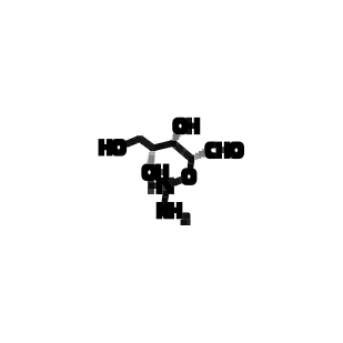 NNO[C@@H](C=O)[C@@H](O)[C@H](O)CO